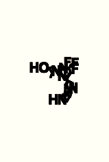 CC1C(O)CN1c1nc(-c2cnn([C@@H]3CCNC3)c2)cc(C(F)(F)F)n1